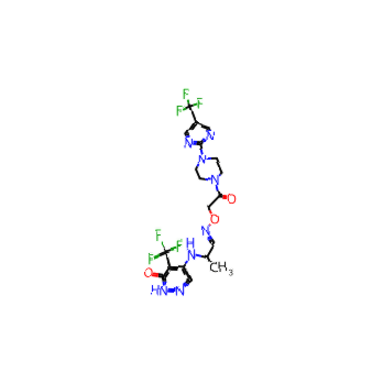 CC(C=NOCC(=O)N1CCN(c2ncc(C(F)(F)F)cn2)CC1)Nc1cn[nH]c(=O)c1C(F)(F)F